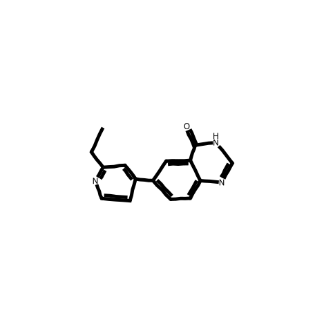 CCc1cc(-c2ccc3nc[nH]c(=O)c3c2)ccn1